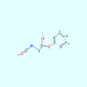 O=C=NCC(=O)Oc1ccccc1